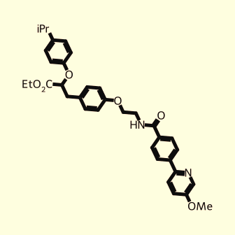 CCOC(=O)C(Cc1ccc(OCCNC(=O)c2ccc(-c3ccc(OC)cn3)cc2)cc1)Oc1ccc(C(C)C)cc1